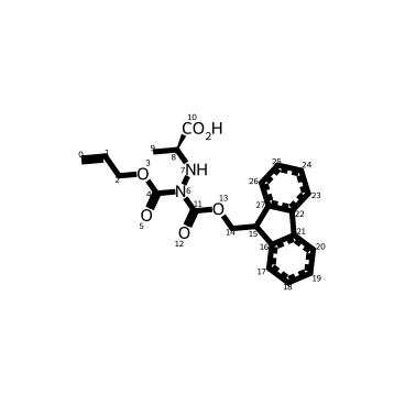 C=CCOC(=O)N(N[C@@H](C)C(=O)O)C(=O)OCC1c2ccccc2-c2ccccc21